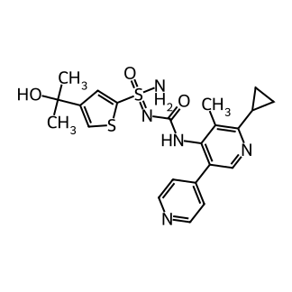 Cc1c(C2CC2)ncc(-c2ccncc2)c1NC(=O)N=S(N)(=O)c1cc(C(C)(C)O)cs1